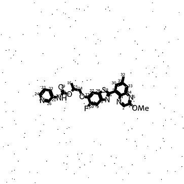 COc1cnc2c(-c3nc4cc(F)c(OCC(C)OC(=O)Nc5cccnc5)cc4s3)cc(C)cc2n1